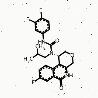 CC(C)CN(C(=O)Nc1ccc(F)c(F)c1)[C@@H]1COCc2[nH]c(=O)c3cc(F)ccc3c21